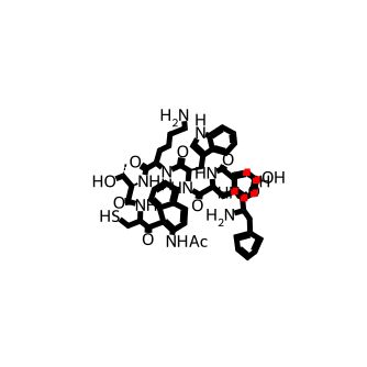 CC(=O)Nc1ccc2ccccc2c1C(=O)C(CS)NC(=O)[C@@H](NC(=O)C(CCCCN)NC(=O)[C@@H](Cc1c[nH]c2ccccc12)NC(=O)C(Cc1ccc(O)cc1)NC(=O)[C@@H](CS)NC(=O)C(N)Cc1ccccc1)[C@@H](C)O